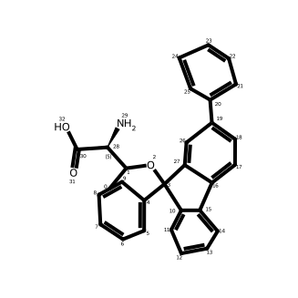 CC(OC1(c2ccccc2)c2ccccc2-c2ccc(-c3ccccc3)cc21)[C@H](N)C(=O)O